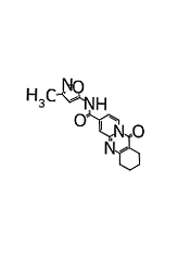 Cc1cc(NC(=O)c2ccn3c(=O)c4c(nc3c2)CCCC4)on1